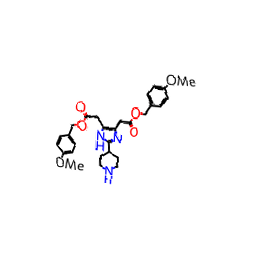 COc1ccc(COC(=O)Cc2nc(C3CCNCC3)[nH]c2CC(=O)OCc2ccc(OC)cc2)cc1